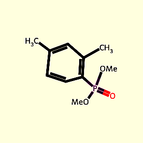 COP(=O)(OC)c1ccc(C)cc1C